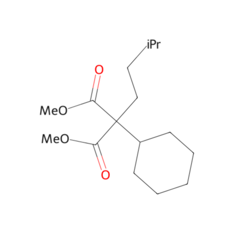 COC(=O)C(CCC(C)C)(C(=O)OC)C1CCCCC1